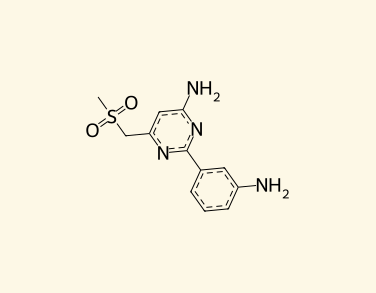 CS(=O)(=O)Cc1cc(N)nc(-c2cccc(N)c2)n1